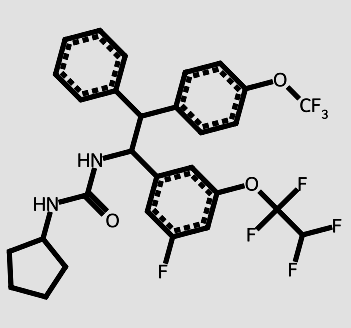 O=C(NC1CCCC1)NC(c1cc(F)cc(OC(F)(F)C(F)F)c1)C(c1ccccc1)c1ccc(OC(F)(F)F)cc1